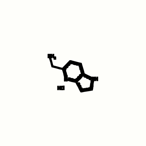 Cl.NCc1ccc2[nH]ccc2n1